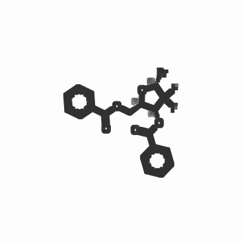 O=C(OC[C@H]1O[C@H](Br)C(F)(F)[C@@H]1OC(=O)c1ccccc1)c1ccccc1